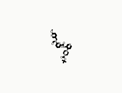 COc1ccc(CN(C=O)c2cccc(C(=O)Nc3cnccc3N3CCN(C(=O)OC(C)(C)C)CC3)n2)cn1